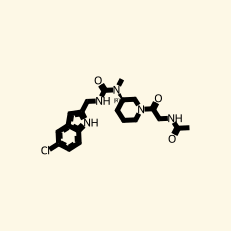 CC(=O)NCC(=O)N1CCC[C@@H](N(C)C(=O)NCc2cc3cc(Cl)ccc3[nH]2)C1